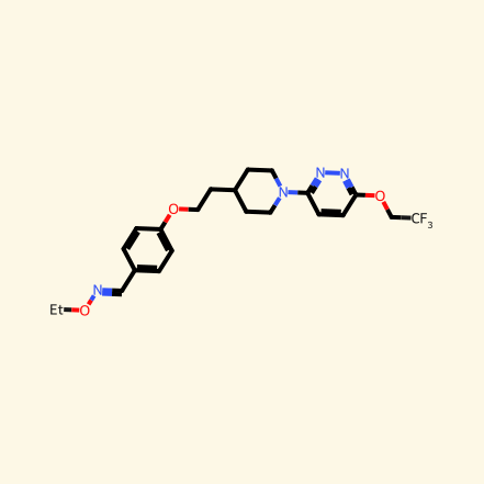 CCON=Cc1ccc(OCCC2CCN(c3ccc(OCC(F)(F)F)nn3)CC2)cc1